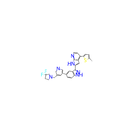 Cc1ccc(-c2ccnc3[nH]c(-c4n[nH]c5ccc(-c6cncc(CN7CCC(F)(F)C7)c6)cc45)cc23)s1